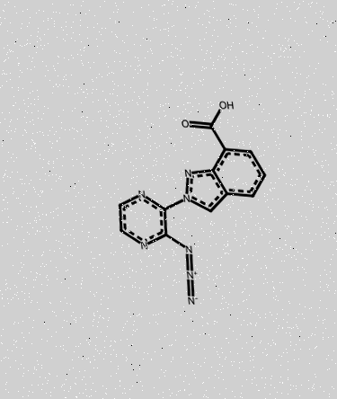 [N-]=[N+]=Nc1nccnc1-n1cc2cccc(C(=O)O)c2n1